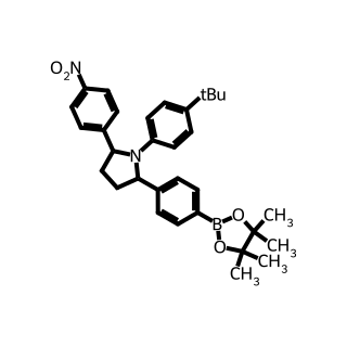 CC(C)(C)c1ccc(N2C(c3ccc(B4OC(C)(C)C(C)(C)O4)cc3)CCC2c2ccc([N+](=O)[O-])cc2)cc1